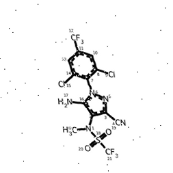 CN(c1c(C#N)nn(-c2c(Cl)cc(C(F)(F)F)cc2Cl)c1N)S(=O)(=O)C(F)(F)F